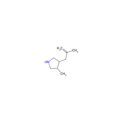 C=C(C)CC1CNCC1C